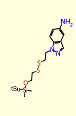 CC(C)(C)[Si](C)(C)OCCSSCCn1ncc2cc(N)ccc21